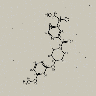 CCN(C(=O)O)c1cc(C(=O)N2CCC(Oc3cccc(OC(F)(F)F)c3)CC2)ccn1